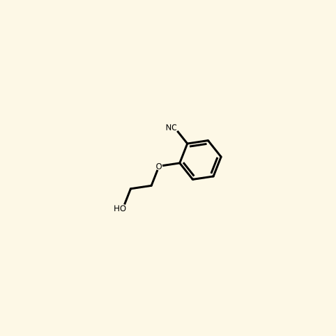 N#Cc1ccccc1OCCO